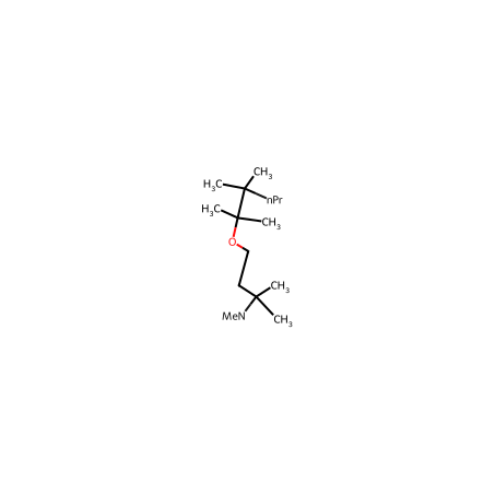 CCCC(C)(C)C(C)(C)OCCC(C)(C)NC